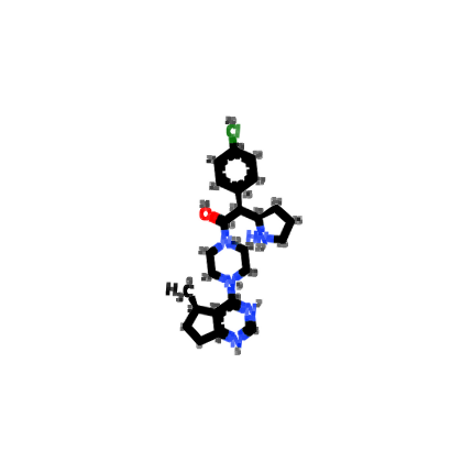 C[C@@H]1CCc2ncnc(N3CCN(C(=O)[C@@H](c4ccc(Cl)cc4)[C@H]4CCCN4)CC3)c21